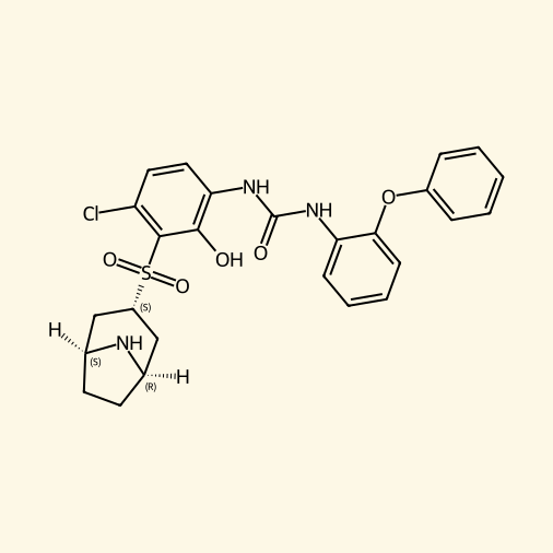 O=C(Nc1ccccc1Oc1ccccc1)Nc1ccc(Cl)c(S(=O)(=O)[C@@H]2C[C@H]3CC[C@@H](C2)N3)c1O